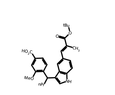 CCCC(c1ccc(C(=O)O)cc1OC)c1c[nH]c2ccc(/C=C(\C)C(=O)OC(C)(C)C)cc12